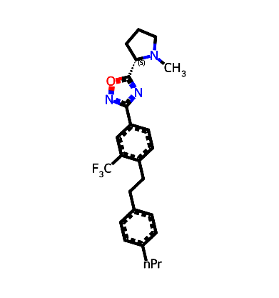 CCCc1ccc(CCc2ccc(-c3noc([C@@H]4CCCN4C)n3)cc2C(F)(F)F)cc1